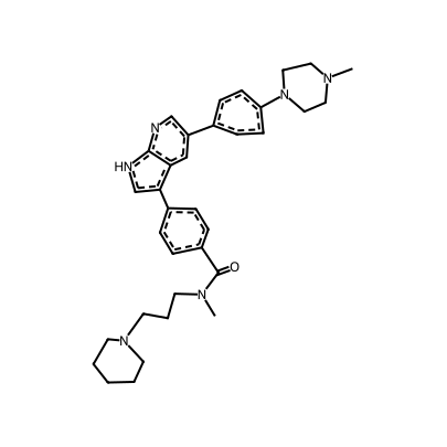 CN1CCN(c2ccc(-c3cnc4[nH]cc(-c5ccc(C(=O)N(C)CCCN6CCCCC6)cc5)c4c3)cc2)CC1